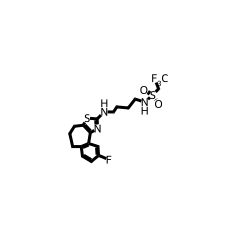 O=S(=O)(CC(F)(F)F)NCCCCNc1nc2c(s1)CCCc1ccc(F)cc1-2